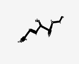 CCOC(=O)C(O)/C=C/C#N